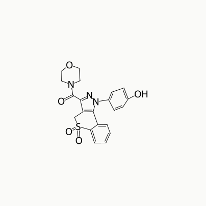 O=C(c1nn(-c2ccc(O)cc2)c2c1CS(=O)(=O)c1ccccc1-2)N1CCOCC1